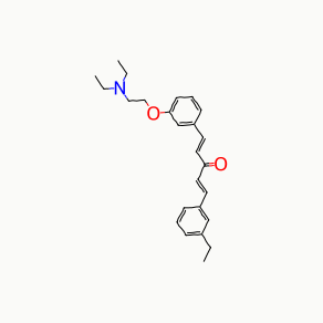 CCc1cccc(/C=C/C(=O)/C=C/c2cccc(OCCN(CC)CC)c2)c1